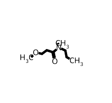 CCCN(C)C(=O)CCOC